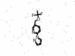 CC(F)(F)OCc1ccc(-n2cccn2)nc1